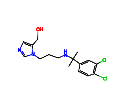 CC(C)(NCCCn1cncc1CO)c1ccc(Cl)c(Cl)c1